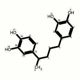 CC(CCCc1ccc(O)c(O)c1)c1ccc(O)c(O)c1